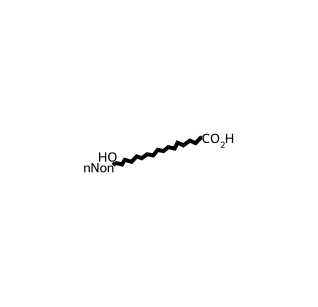 CCCCCCCCCC(O)CCCCCCCCCCCCCCCCC(=O)O